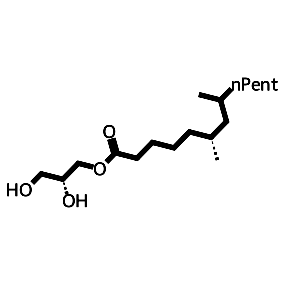 CCCCCC(C)C[C@H](C)CCCCC(=O)OC[C@H](O)CO